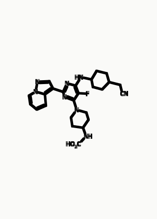 N#CCC1CCC(Nc2nc(-c3cnn4ccccc34)nc(N3CCC(NC(=O)O)CC3)c2F)CC1